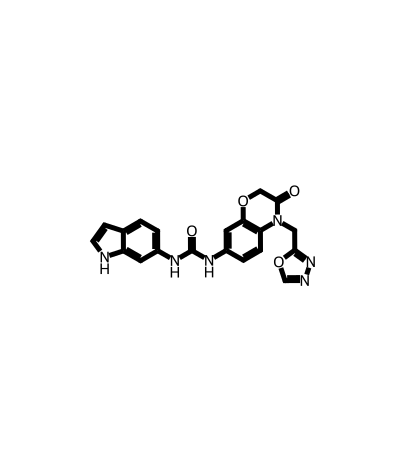 O=C(Nc1ccc2c(c1)OCC(=O)N2Cc1nnco1)Nc1ccc2cc[nH]c2c1